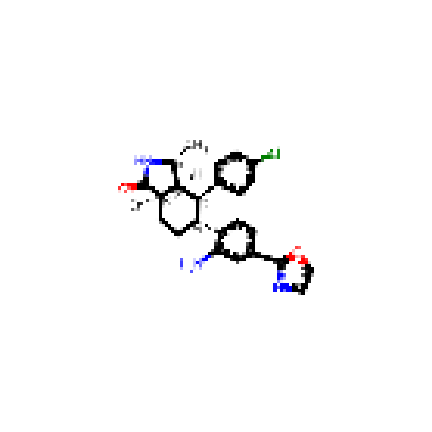 CC[C@@]12CC[C@@H](c3ccc(-c4ncco4)cc3N)[C@H](c3ccc(Cl)cc3)[C@@H]1[C@@H](C)NC2=O